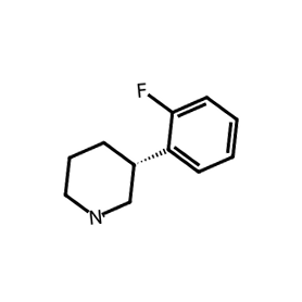 Fc1ccccc1[C@H]1CCC[N]C1